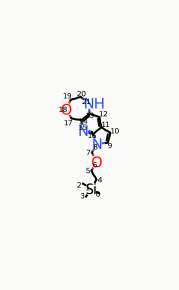 C[Si](C)(C)CCOCn1ccc2cc3c(nc21)COCCN3